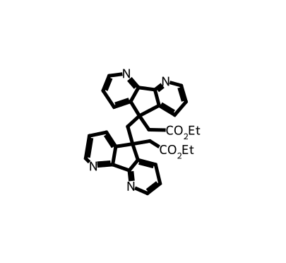 CCOC(=O)CC1(CC2(CC(=O)OCC)c3cccnc3-c3ncccc32)c2cccnc2-c2ncccc21